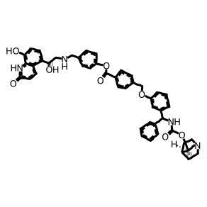 O=C(NC(c1ccccc1)c1cccc(OCc2ccc(C(=O)Oc3ccc(CNC[C@H](O)c4ccc(O)c5[nH]c(=O)ccc45)cc3)cc2)c1)O[C@H]1CN2CCC1CC2